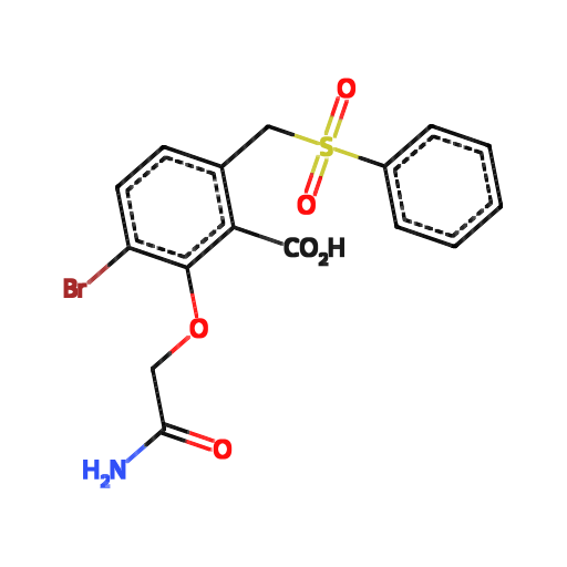 NC(=O)COc1c(Br)ccc(CS(=O)(=O)c2ccccc2)c1C(=O)O